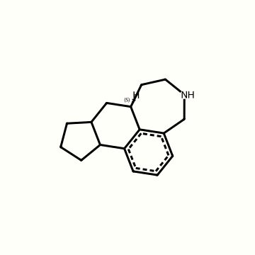 c1cc2c3c(c1)C1CCCC1C[C@H]3CCNC2